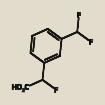 O=C(O)C(F)c1cccc(C(F)F)c1